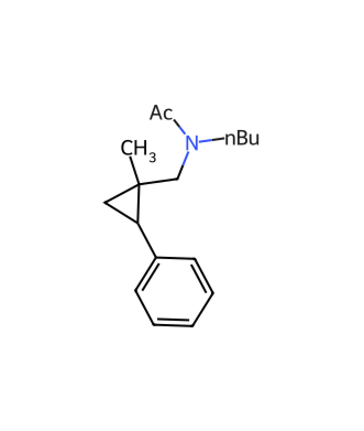 CCCCN(CC1(C)CC1c1ccccc1)C(C)=O